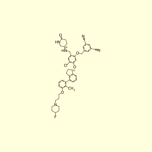 Cc1c(OCCCN2CCC(F)CC2)cccc1-c1cccc2c1CC[C@@H]2Oc1cc(OCc2cc(C#N)cc(C#N)c2)c(CN[C@@H]2CCC(=O)NC2)cc1Cl